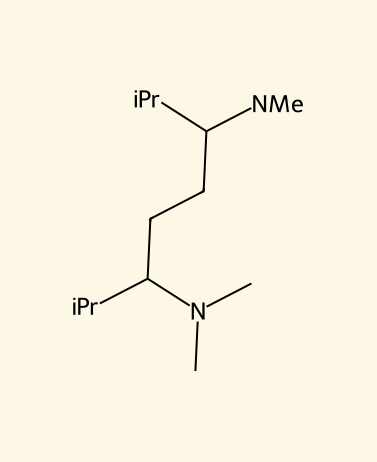 CNC(CCC(C(C)C)N(C)C)C(C)C